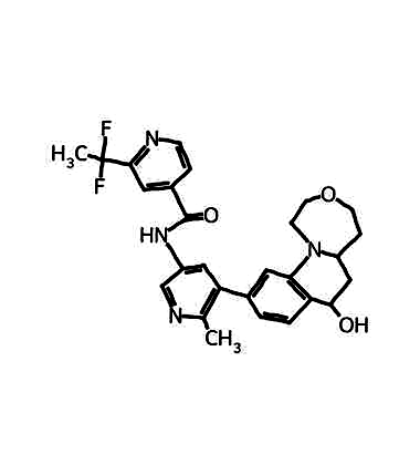 Cc1ncc(NC(=O)c2ccnc(C(C)(F)F)c2)cc1-c1ccc2c(c1)N1CCOCCC1CC2O